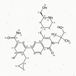 CC(C)(CO)Cn1cc(S[C@H]2CCN[C@H](CO)C2)c2cc(-c3cc(C(N)=O)cc(F)c3CC3CC3)ccc2c1=O